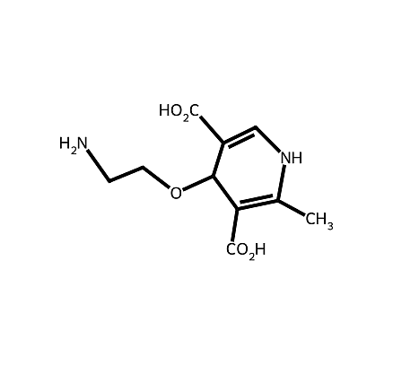 CC1=C(C(=O)O)C(OCCN)C(C(=O)O)=CN1